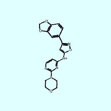 c1cc(Nc2cc(-c3ccc4c(c3)OCO4)no2)nc(N2CCOCC2)n1